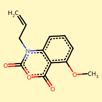 C=CCn1c(=O)oc(=O)c2c(OC)cccc21